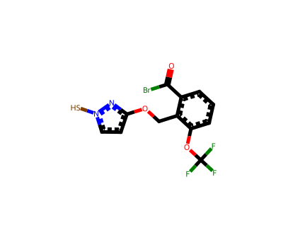 O=C(Br)c1cccc(OC(F)(F)F)c1COc1ccn(S)n1